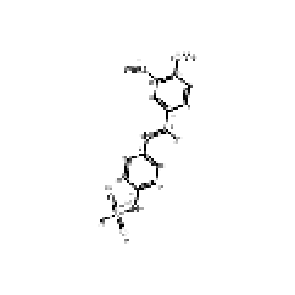 COc1ccc(C(Cl)=Nc2ccc(NS(C)(=O)=O)cc2)cc1OC